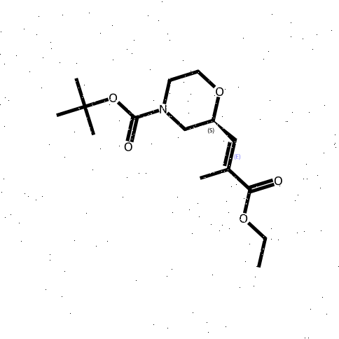 CCOC(=O)/C(C)=C/[C@H]1CN(C(=O)OC(C)(C)C)CCO1